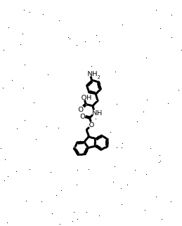 Nc1ccc(CC(NC(=O)OCC2c3ccccc3-c3ccccc32)C(=O)O)cc1